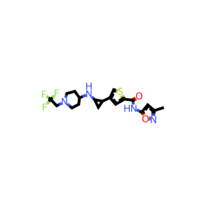 Cc1cc(NC(=O)c2cc(C3CC3NC3CCN(CC(F)(F)F)CC3)cs2)on1